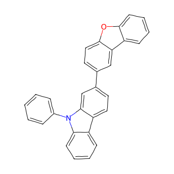 c1ccc(-n2c3ccccc3c3ccc(-c4ccc5oc6ccccc6c5c4)cc32)cc1